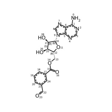 Nc1ncnc2c1ncn2[C@@H]1O[C@H](COC(=O)c2cccc(C=O)c2)[C@@H](O)[C@H]1O